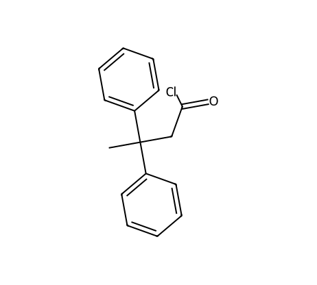 CC(CC(=O)Cl)(c1ccccc1)c1ccccc1